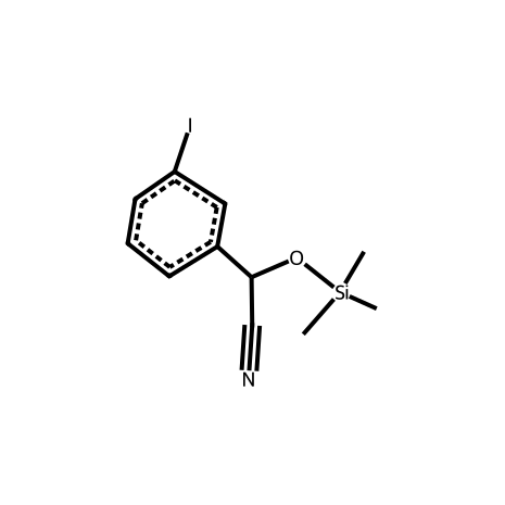 C[Si](C)(C)OC(C#N)c1cccc(I)c1